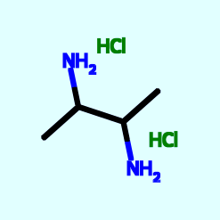 CC(N)C(C)N.Cl.Cl